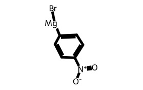 O=[N+]([O-])c1cc[c]([Mg][Br])cc1